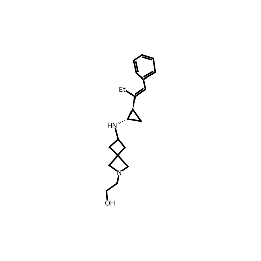 CC/C(=C\c1ccccc1)[C@H]1C[C@@H]1NC1CC2(C1)CN(CCO)C2